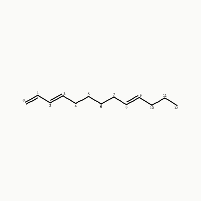 C=CC=CCCCCC=CCCC